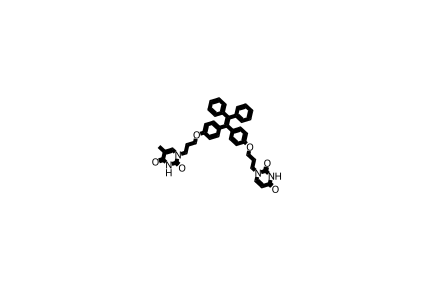 Cc1cn(CCCOc2ccc(C(=C(c3ccccc3)c3ccccc3)c3ccc(OCCCn4ccc(=O)[nH]c4=O)cc3)cc2)c(=O)[nH]c1=O